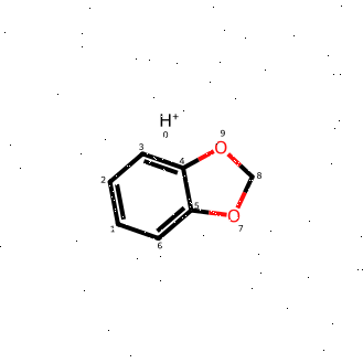 [H+].c1ccc2c(c1)OCO2